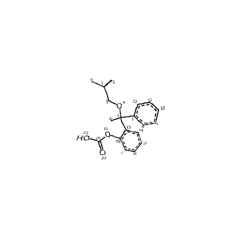 CC(C)COC(C)(c1ccccc1)c1ccccc1OC(=O)O